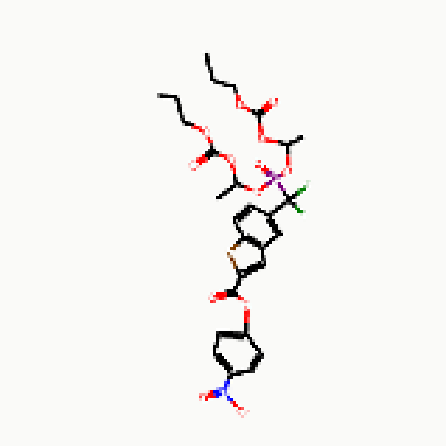 CCCOC(=O)OC(C)OP(=O)(OC(C)OC(=O)OCCC)C(F)(F)c1ccc2sc(C(=O)Oc3ccc([N+](=O)[O-])cc3)cc2c1